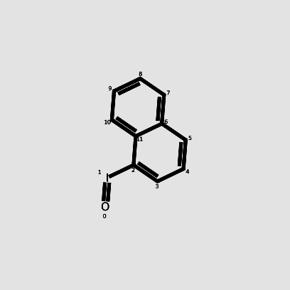 O=Ic1cccc2ccccc12